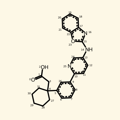 O=C(O)CC1(c2cccc(-c3ccc(Nc4nc5ccccc5o4)cn3)c2)CCCCC1